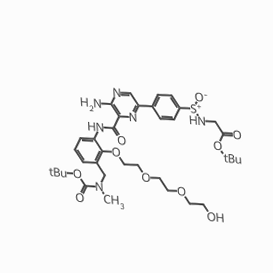 CN(Cc1cccc(NC(=O)c2nc(-c3ccc([S+]([O-])NCC(=O)OC(C)(C)C)cc3)cnc2N)c1OCCOCCOCCO)C(=O)OC(C)(C)C